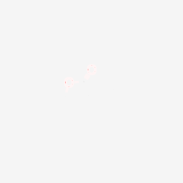 Cc1ccccc1C1CC(C)OC1=O